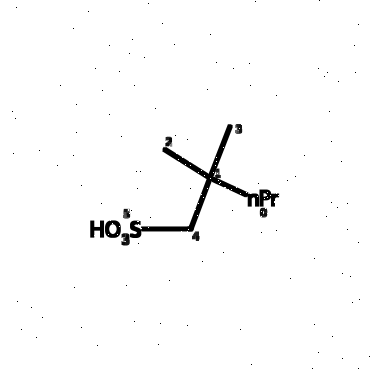 CCCC(C)(C)CS(=O)(=O)O